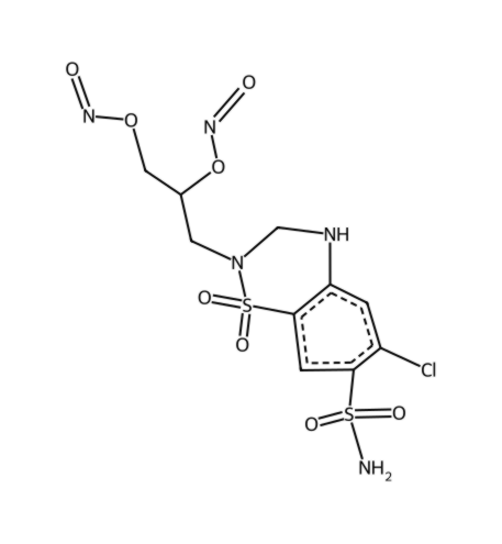 NS(=O)(=O)c1cc2c(cc1Cl)NCN(CC(CON=O)ON=O)S2(=O)=O